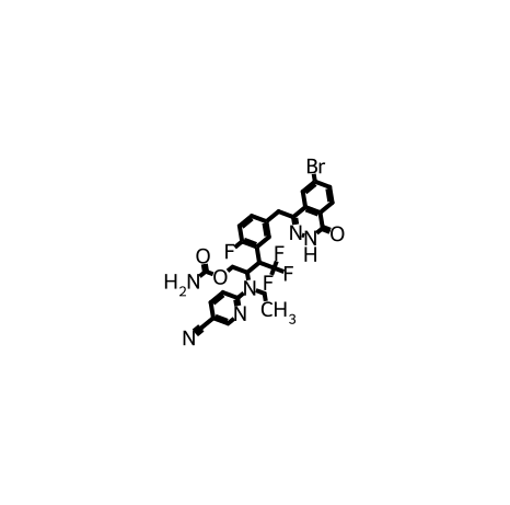 CCN(c1ccc(C#N)cn1)C(COC(N)=O)C(c1cc(Cc2n[nH]c(=O)c3ccc(Br)cc23)ccc1F)C(F)(F)F